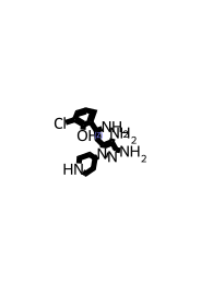 N/C(=C\c1c(N)c(N)nn1C1CCNCC1)c1cccc(Cl)c1O